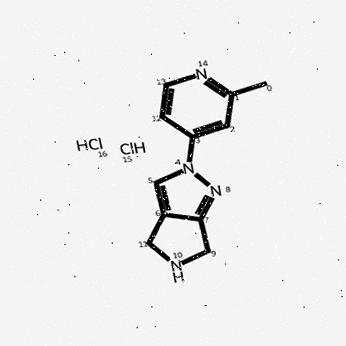 Cc1cc(-n2cc3c(n2)CNC3)ccn1.Cl.Cl